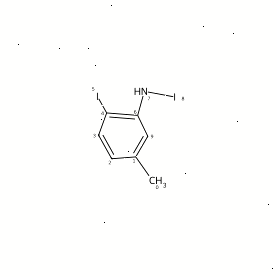 Cc1ccc(I)c(NI)c1